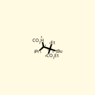 CCOC(=O)C(CC)(C(C(=O)O)C(C)C)C(C)(C)C